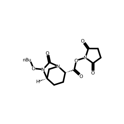 CCCCON1C(=O)N2C[C@H]1CC[C@H]2C(=O)ON1C(=O)CCC1=O